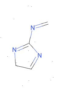 C=NC1=NCC=N1